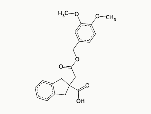 COc1ccc(COC(=O)CC2(C(=O)O)Cc3ccccc3C2)cc1OC